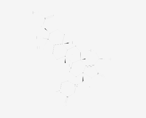 CC(=O)O[C@H]1CC[C@@]2(C)C(CC[C@]3(C)C2CC[C@@H]2C4=C(C(C)C)C(=O)C[C@]4(C(=O)N4CCNC(=O)C4)CC[C@]23C)C1(C)C